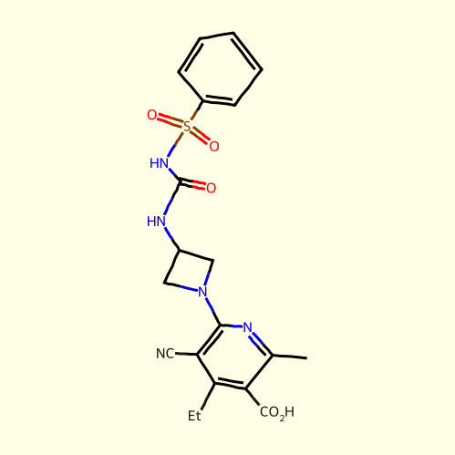 CCc1c(C#N)c(N2CC(NC(=O)NS(=O)(=O)c3ccccc3)C2)nc(C)c1C(=O)O